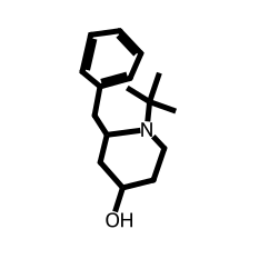 CC(C)(C)N1CCC(O)CC1Cc1ccccc1